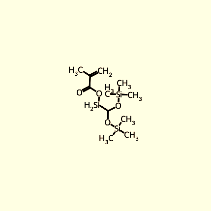 C=C(C)C(=O)O[SiH2]C(O[Si](C)(C)C)O[Si](C)(C)C